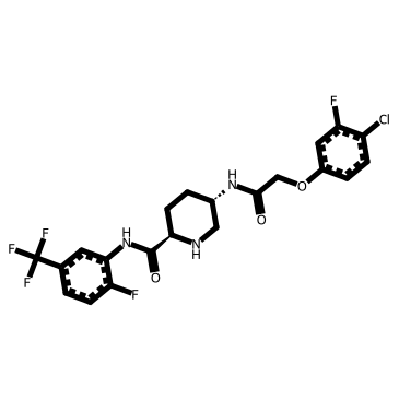 O=C(COc1ccc(Cl)c(F)c1)N[C@H]1CC[C@H](C(=O)Nc2cc(C(F)(F)F)ccc2F)NC1